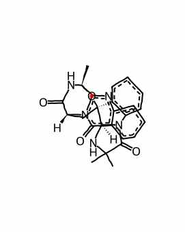 CC1(C)N[C@@H]2N(C1=O)c1ccccc1[C@@]21C[C@@H]2C(=O)N[C@@](C)(O1)c1nc3ccccc3c(=O)n12